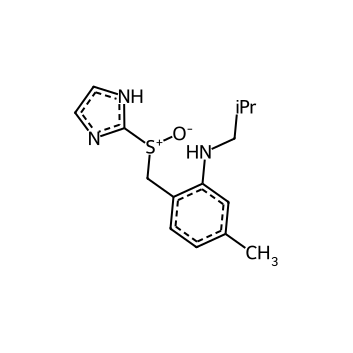 Cc1ccc(C[S+]([O-])c2ncc[nH]2)c(NCC(C)C)c1